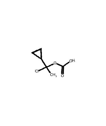 CC(Cl)(OC(=O)O)C1CC1